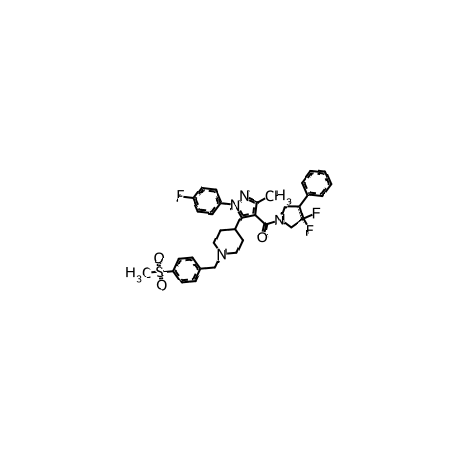 Cc1nn(-c2ccc(F)cc2)c(C2CCN(Cc3ccc(S(C)(=O)=O)cc3)CC2)c1C(=O)N1CC(c2ccccc2)C(F)(F)C1